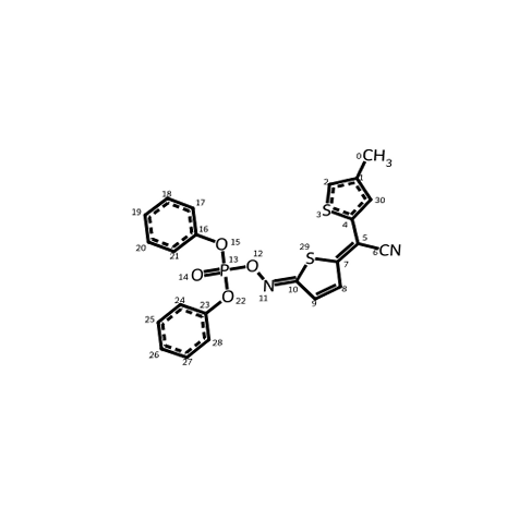 Cc1csc(C(C#N)=C2C=CC(=NOP(=O)(Oc3ccccc3)Oc3ccccc3)S2)c1